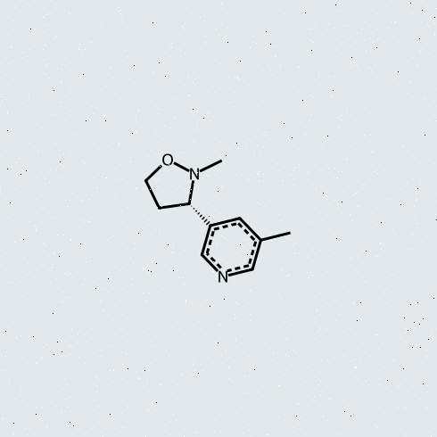 Cc1cncc([C@@H]2CCON2C)c1